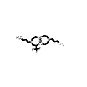 CCCCN1CC[O][Sn]2([O]CC1)[O]CCN(CCCC)CC(C(F)(F)F)[O]2